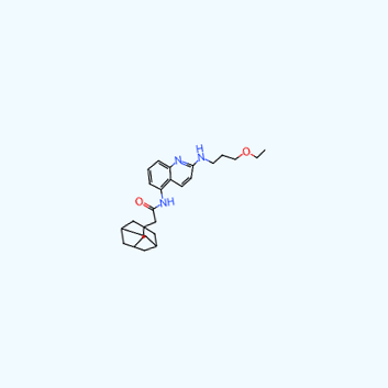 CCOCCCNc1ccc2c(NC(=O)CC34CC5CC(CC(C5)C3)C4)cccc2n1